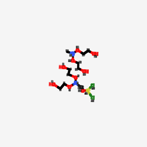 CCN(OCCO)OCCO.CN(OCCO)OCCO.[O-][S+](Cl)Cl